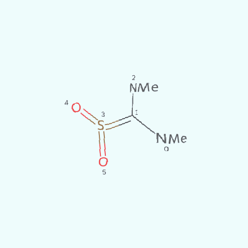 CNC(NC)=S(=O)=O